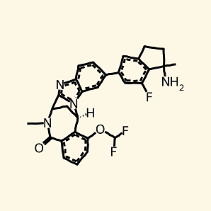 CN1C(=O)c2cccc(OC(F)F)c2[C@H]2CC1c1nc3ccc(-c4cc(F)c5c(c4)CCC5(C)N)cc3n12